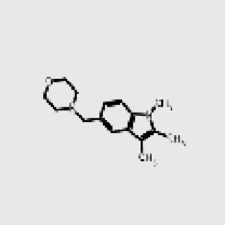 Cc1c(C)n(C)c2ccc(CN3CCOCC3)cc12